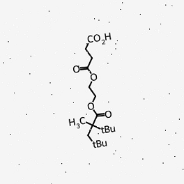 CC(C)(C)CC(C)(C(=O)OCCOC(=O)CCC(=O)O)C(C)(C)C